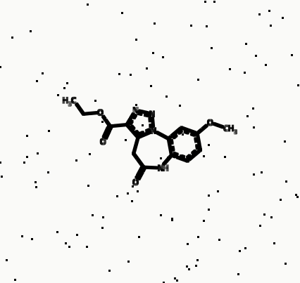 CCOC(=O)c1nnn2c1CC(=O)Nc1ccc(OC)cc1-2